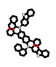 c1ccc(-c2cc3cc(N(c4ccc5c(c4)oc4ccccc45)c4cccc5ccccc45)c(-c4ccccc4)cc3cc2N(c2ccc3c(c2)oc2ccccc23)c2cccc3ccccc23)cc1